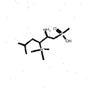 CC(C)CC(C(N)CP(C)(=O)O)[N+](C)(C)C